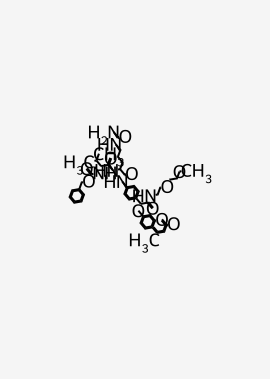 COCCOCCNC(=O)C(Oc1ccc2c(C)cc(=O)oc2c1)c1ccc(NC(=O)C(CCCNC(N)=O)NC(=O)C(NC(=O)OCc2ccccc2)C(C)C)cc1